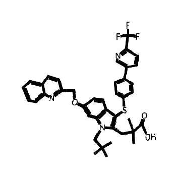 CC(C)(C)Cn1c(CC(C)(C)C(=O)O)c(Sc2ccc(-c3ccc(C(F)(F)F)nc3)cc2)c2ccc(OCc3ccc4ccccc4n3)cc21